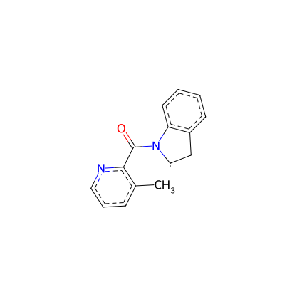 Cc1cccnc1C(=O)N1[CH]Cc2ccccc21